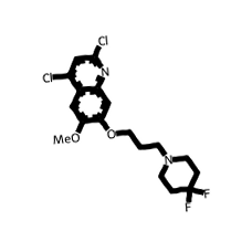 COc1cc2c(Cl)cc(Cl)nc2cc1OCCCN1CCC(F)(F)CC1